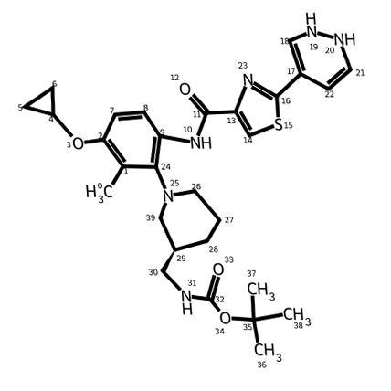 Cc1c(OC2CC2)ccc(NC(=O)c2csc(C3=CNNC=C3)n2)c1N1CCC[C@@H](CNC(=O)OC(C)(C)C)C1